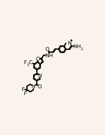 C=N/C(N)=C\c1ccc(/C=C/C(=O)NCc2cc3cc(-c4ccc(C(=O)N5CCC(F)(F)CC5)cn4)cc(C(F)(F)F)c3o2)cc1C